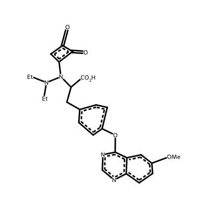 CCN(CC)N(c1cc(=O)c1=O)C(Cc1ccc(Oc2ncnc3ccc(OC)cc23)cc1)C(=O)O